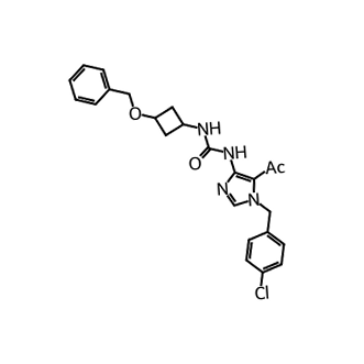 CC(=O)c1c(NC(=O)NC2CC(OCc3ccccc3)C2)ncn1Cc1ccc(Cl)cc1